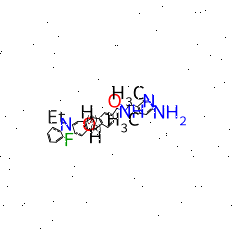 CCN(c1ccc2c(c1)[C@H]1O[C@@H]2c2ccc(C(=O)NCc3c(C)cc(N)nc3C)cc21)c1ccccc1F